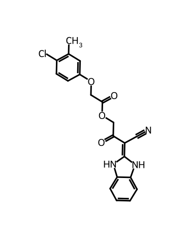 Cc1cc(OCC(=O)OCC(=O)C(C#N)=C2Nc3ccccc3N2)ccc1Cl